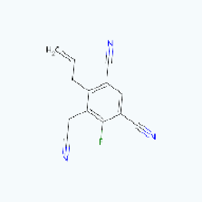 C=CCc1c(C#N)cc(C#N)c(F)c1CC#N